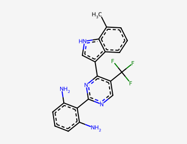 Cc1cccc2c(-c3nc(-c4c(N)cccc4N)ncc3C(F)(F)F)c[nH]c12